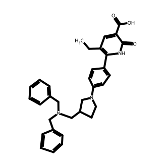 CCc1cc(C(=O)O)c(=O)[nH]c1-c1ccc(N2CCC(CN(Cc3ccccc3)Cc3ccccc3)C2)cc1